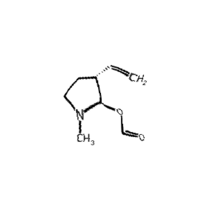 C=C[C@H]1CCN(C)[C@@H]1OC=O